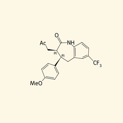 COc1ccc([C@@H]2Cc3cc(C(F)(F)F)ccc3NC(=O)[C@@H]2CC(C)=O)cc1